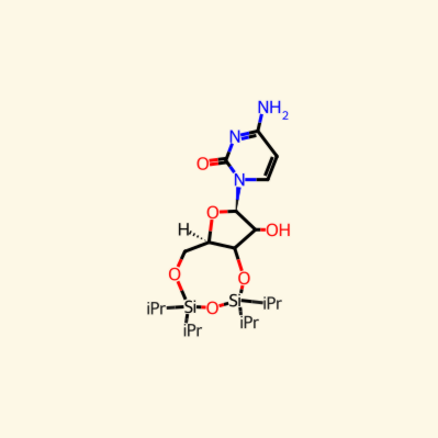 CC(C)[Si]1(C(C)C)OC[C@H]2O[C@@H](n3ccc(N)nc3=O)C(O)C2O[Si](C(C)C)(C(C)C)O1